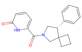 O=C(c1cccc(=O)[nH]1)N1C[C@H](c2ccccc2)C2(CCC2)C1